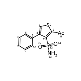 CC(=O)c1scc(-c2ccccc2)c1S(N)(=O)=O